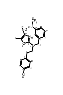 Cc1oc(N(CCc2ccc(Cl)cc2)Cc2cccc(OC(F)(F)F)c2)nc1N=O